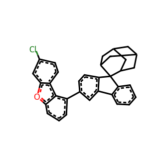 Clc1ccc2c(c1)oc1cccc(-c3ccc4c(c3)-c3ccccc3C43C4CC5CC(C4)CC3C5)c12